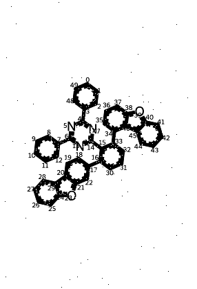 c1ccc(-c2nc(-c3ccccc3)nc(-c3c(-c4ccc5c(c4)oc4ccccc45)cccc3-c3cccc4oc5ccccc5c34)n2)cc1